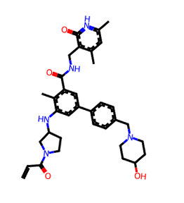 C=CC(=O)N1CCC(Nc2cc(-c3ccc(CN4CCC(O)CC4)cc3)cc(C(=O)NCc3c(C)cc(C)[nH]c3=O)c2C)C1